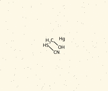 CO.N#CS.[Hg]